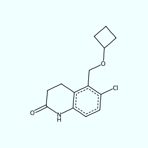 O=C1CCc2c(ccc(Cl)c2COC2CCC2)N1